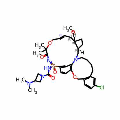 CO[C@H]1/C=C/COC(C)(C)C(=O)N=S(=O)(NC(=O)N2CC(N(C)C)C2)c2ccc3c(c2)N(CCCCc2cc(Cl)ccc2CO3)C[C@@H]2CC[C@H]21